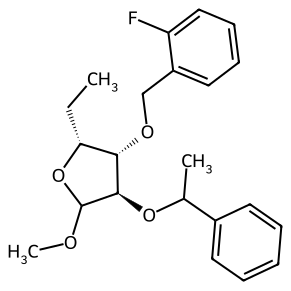 CC[C@H]1OC(OC)[C@H](OC(C)c2ccccc2)[C@H]1OCc1ccccc1F